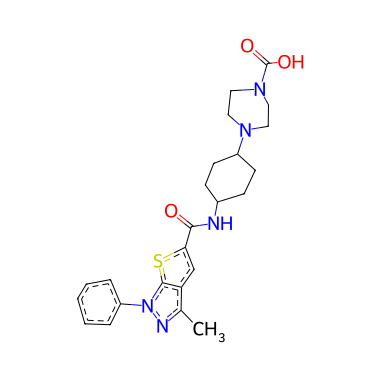 Cc1nn(-c2ccccc2)c2sc(C(=O)NC3CCC(N4CCN(C(=O)O)CC4)CC3)cc12